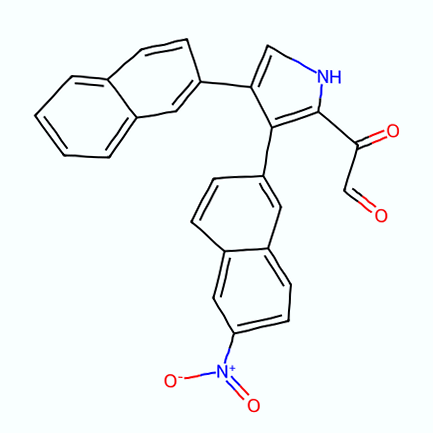 O=CC(=O)c1[nH]cc(-c2ccc3ccccc3c2)c1-c1ccc2cc([N+](=O)[O-])ccc2c1